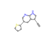 C#Cc1c[nH]c2ncc(-c3cccs3)cc12